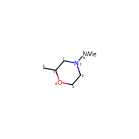 CNN1CCOC(C)C1